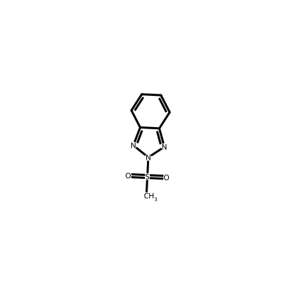 CS(=O)(=O)n1nc2ccccc2n1